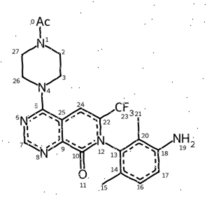 CC(=O)N1CCN(c2ncnc3c(=O)n(-c4c(C)ccc(N)c4C)c(C(F)(F)F)cc23)CC1